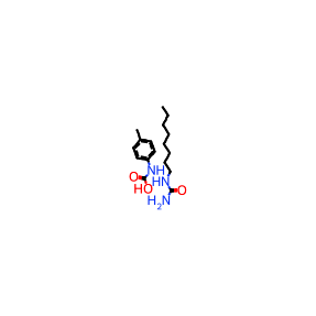 CCCCCCCCNC(N)=O.Cc1ccc(NC(=O)O)cc1